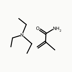 C=C(C)C(N)=O.CCN(CC)CC